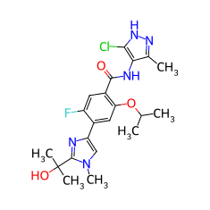 Cc1n[nH]c(Cl)c1NC(=O)c1cc(F)c(-c2cn(C)c(C(C)(C)O)n2)cc1OC(C)C